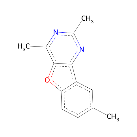 Cc1ccc2oc3c(C)nc(C)nc3c2c1